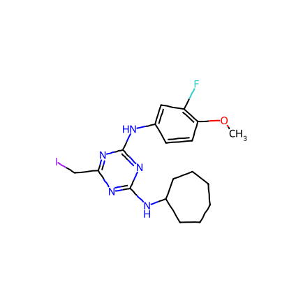 COc1ccc(Nc2nc(CI)nc(NC3CCCCCC3)n2)cc1F